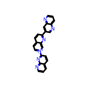 c1cnc2nc(-[n+]3ccc4ccc(-c5cnc6cccnc6c5)nc4c3)ccc2c1